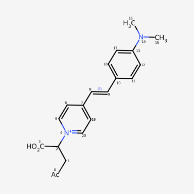 CC(=O)CC(C(=O)O)[n+]1ccc(/C=C/c2ccc(N(C)C)cc2)cc1